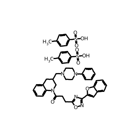 Cc1ccc(S(=O)(=O)O)cc1.Cc1ccc(S(=O)(=O)O)cc1.O=C(CCc1nc(-c2cc3ccccc3o2)no1)N1CC(CN2CCN(c3ccccc3)CC2)Cc2ccccc21